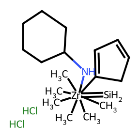 Cl.Cl.[CH3][Zr]([CH3])([CH3])([CH3])([CH3])([CH3])(=[SiH2])([NH]C1CCCCC1)[C]1=CC=CC1